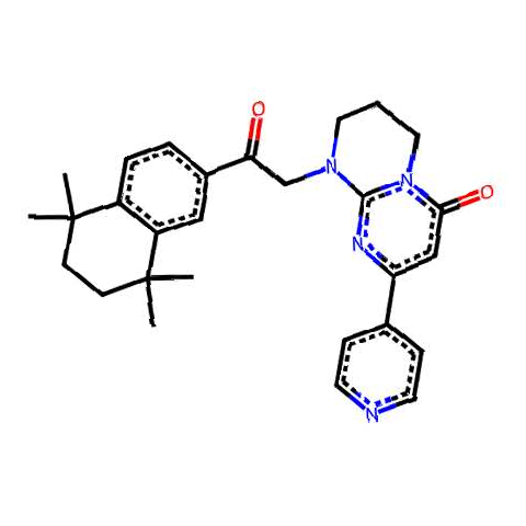 CC1(C)CCC(C)(C)c2cc(C(=O)CN3CCCn4c3nc(-c3ccncc3)cc4=O)ccc21